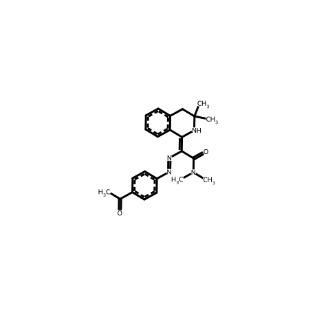 CC(=O)c1ccc(/N=N/C(C(=O)N(C)C)=C2/NC(C)(C)Cc3ccccc32)cc1